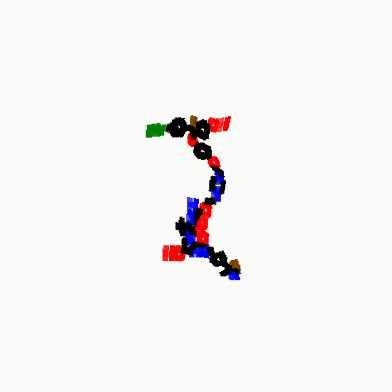 Cc1ncsc1-c1ccc(CNC(=O)[C@H]2C[C@H](O)CN2C(=O)C(NC(=O)COCCN2CCN(CCOc3ccc(Oc4c(-c5ccc(Br)cc5)sc5cc(O)ccc45)cc3)CC2)C(C)(C)C)cc1